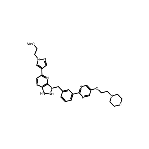 COCCn1cc(-c2cnc3c(n2)N(Cc2cccc(-c4ncc(OCCN5CCOCC5)cn4)c2)NN3)cn1